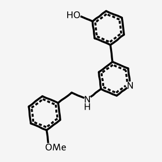 COc1cccc(CNc2cncc(-c3cccc(O)c3)c2)c1